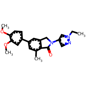 CCn1cc(N2Cc3cc(-c4ccc(OC)c(OC)c4)cc(C)c3C2=O)cn1